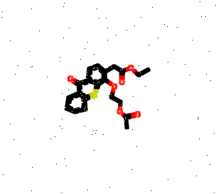 CCOC(=O)Cc1ccc2c(=O)c3ccccc3sc2c1OCCOC(C)=O